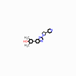 Cc1cc(-c2ccc3ncc(N4CCC(c5ccncc5)C4)nc3c2)cc(C)c1O